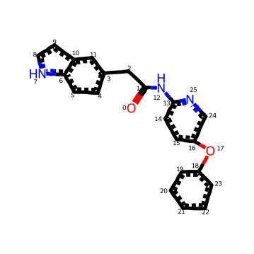 O=C(Cc1ccc2[nH]ccc2c1)Nc1ccc(Oc2ccccc2)cn1